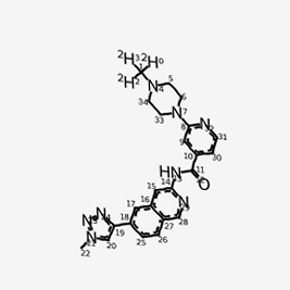 [2H]C([2H])([2H])N1CCN(c2cc(C(=O)Nc3cc4cc(-c5cn(C)nn5)ccc4cn3)ccn2)CC1